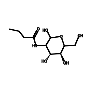 CCCC(=O)NC1C(O)OC(CO)[C@@H](O)[C@@H]1O